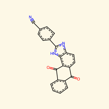 N#Cc1ccc(-c2nc3ccc4c(c3[nH]2)C(=O)c2ccccc2C4=O)cc1